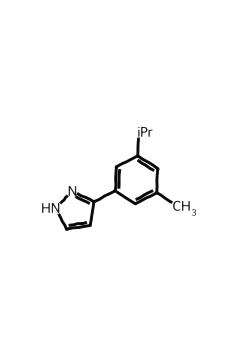 Cc1cc(-c2cc[nH]n2)cc(C(C)C)c1